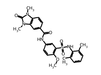 COc1ccc(NC(=O)c2ccc3c(c2)n(C)c(=O)n3C)cc1S(=O)(=O)Nc1c(C)cccc1C